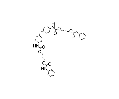 O=C(Nc1ccccc1)OCCCOC(=O)NC1CCC(CC2CCC(NC(=O)OCCCOC(=O)Nc3ccccc3)CC2)CC1